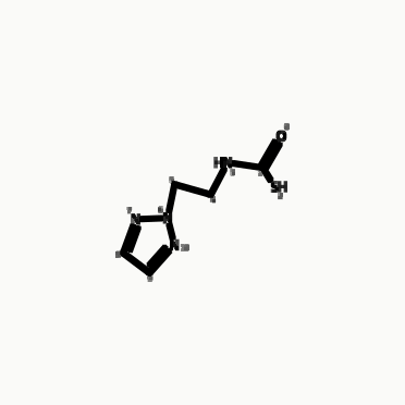 O=C(S)NCCn1nccn1